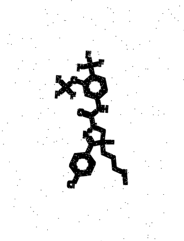 CSCCCC1(C)CN(C(=O)Nc2ccc(C(F)(F)F)c(OC(F)(F)F)c2)N=C1c1ccc(Cl)cc1